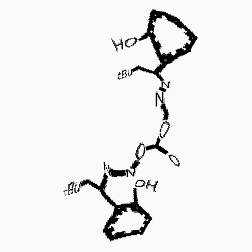 CC(C)(C)C(N=NOC(=O)ON=NC(c1ccccc1O)C(C)(C)C)c1ccccc1O